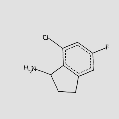 NC1CCc2cc(F)cc(Cl)c21